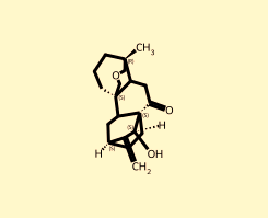 C=C1[C@H]2CC[C@@]3(C(=O)CC4[C@@]5(C)CCC[C@@]4(COC5)C3C2)[C@H]1O